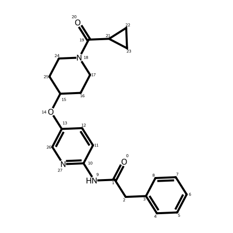 O=C(Cc1ccccc1)Nc1ccc(OC2CCN(C(=O)C3CC3)CC2)cn1